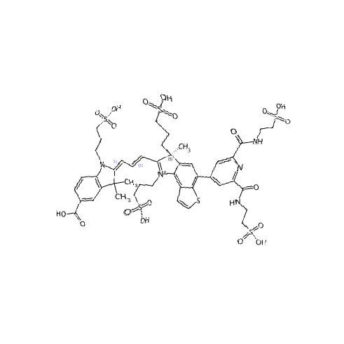 CC1(C)/C(=C\C=C\C2=[N+](CCCS(=O)(=O)O)c3c(cc(-c4cc(C(=O)NCCS(=O)(=O)O)nc(C(=O)NCCS(=O)(=O)O)c4)c4sccc34)[C@]2(C)CCCS(=O)(=O)O)N(CCCS(=O)(=O)O)c2ccc(C(=O)O)cc21